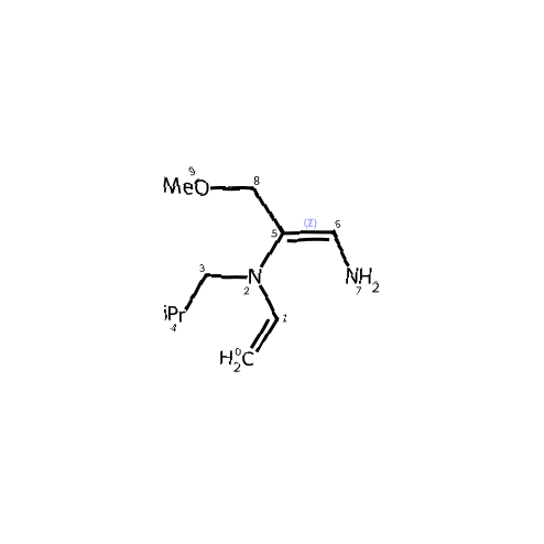 C=CN(CC(C)C)/C(=C\N)COC